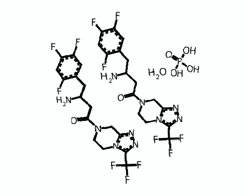 NC(CC(=O)N1CCn2c(nnc2C(F)(F)F)C1)Cc1cc(F)c(F)cc1F.NC(CC(=O)N1CCn2c(nnc2C(F)(F)F)C1)Cc1cc(F)c(F)cc1F.O.O=P(O)(O)O